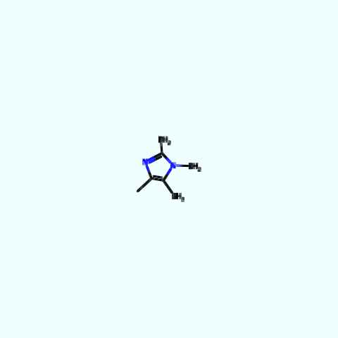 Bc1nc(C)c(B)n1B